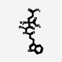 CC(C)[C@H](NC(=O)CCc1c[nH]c2ccccc12)C(=O)C(N)(CCC(N)=O)C(N)=O